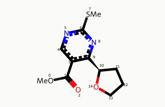 COC(=O)c1cnc(SC)nc1[C@H]1CCCO1